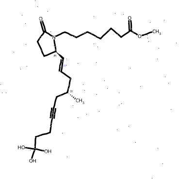 COC(=O)CCCCCCN1C(=O)CC[C@@H]1/C=C/C[C@H](C)CC#CCCC(O)(O)O